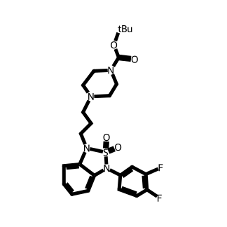 CC(C)(C)OC(=O)N1CCN(CCCN2c3ccccc3N(c3ccc(F)c(F)c3)S2(=O)=O)CC1